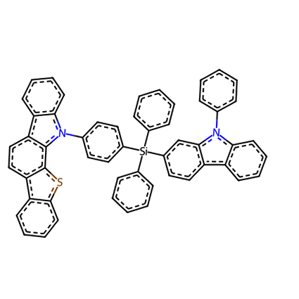 c1ccc(-n2c3ccccc3c3ccc([Si](c4ccccc4)(c4ccccc4)c4ccc(-n5c6ccccc6c6ccc7c8ccccc8sc7c65)cc4)cc32)cc1